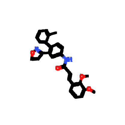 COc1cccc(C=CC(=O)Nc2ccc(-c3ccccc3C)c(-c3ccon3)c2)c1OC